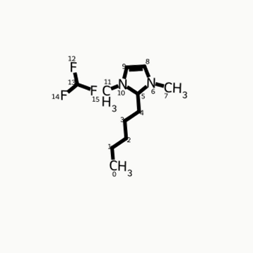 CCCCCC1N(C)C=CN1C.FC(F)F